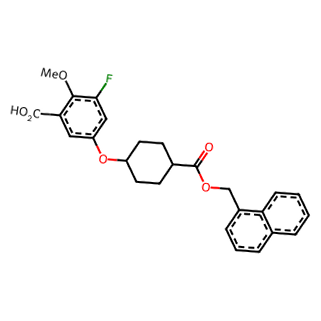 COc1c(F)cc(OC2CCC(C(=O)OCc3cccc4ccccc34)CC2)cc1C(=O)O